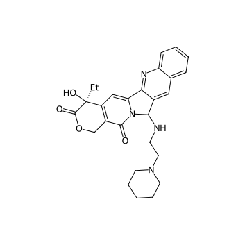 CC[C@@]1(O)C(=O)OCc2c1cc1n(c2=O)C(NCCN2CCCCC2)c2cc3ccccc3nc2-1